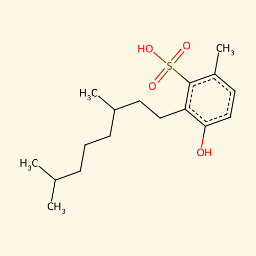 Cc1ccc(O)c(CCC(C)CCCC(C)C)c1S(=O)(=O)O